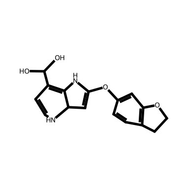 OC(O)C1=C2NC(Oc3ccc4c(c3)OCC4)=CC2NC=C1